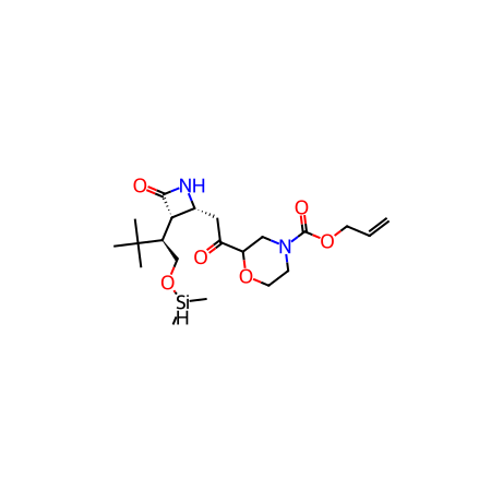 C=CCOC(=O)N1CCOC(C(=O)C[C@H]2NC(=O)[C@H]2[C@@H](CO[SiH](C)C)C(C)(C)C)C1